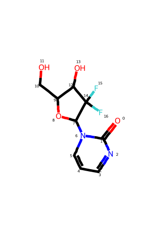 O=c1n[c]ccn1C1OC(CO)C(O)C1(F)F